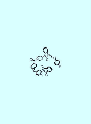 O=C(C1CCN(Cc2ccnc(N3C(=O)c4ccccc4C3=O)c2)CC1)N1CCC(n2c(=O)n(CCOc3ccc(F)cc3)c3ccccc32)CC1